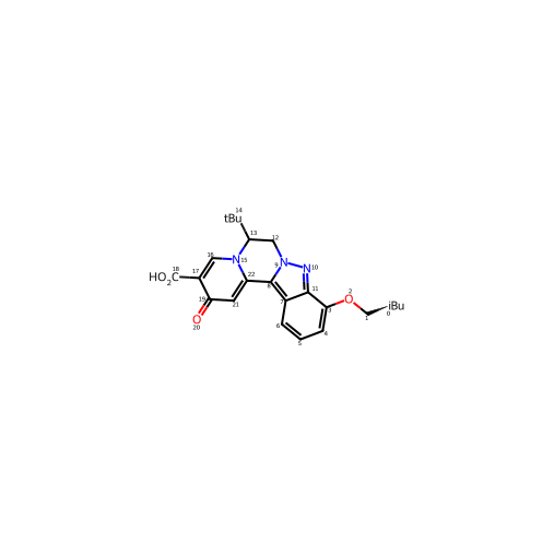 CC[C@H](C)COc1cccc2c3n(nc12)CC(C(C)(C)C)n1cc(C(=O)O)c(=O)cc1-3